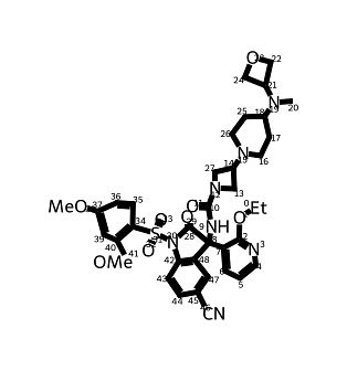 CCOc1ncccc1C1(NC(=O)N2CC(N3CCC(N(C)C4COC4)CC3)C2)C(=O)N(S(=O)(=O)c2ccc(OC)cc2OC)c2ccc(C#N)cc21